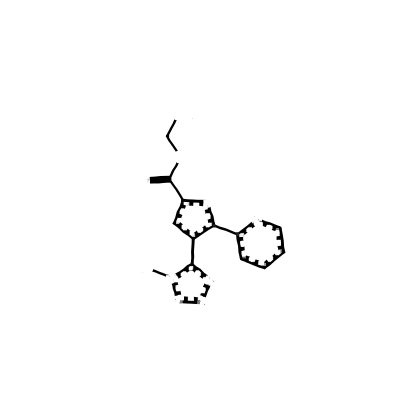 CCOC(=O)c1cc(-c2nnnn2C)c(-c2ccccn2)s1